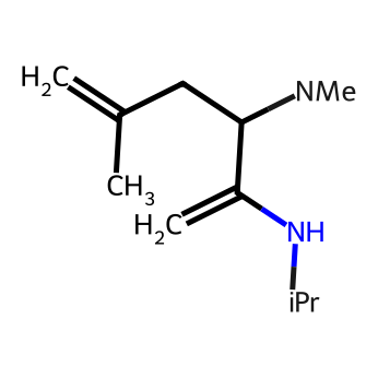 C=C(C)CC(NC)C(=C)NC(C)C